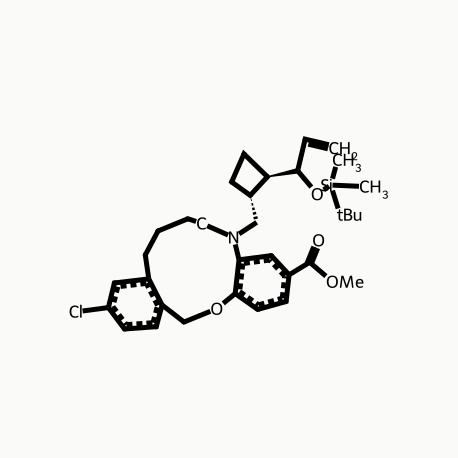 C=CC(O[Si](C)(C)C(C)(C)C)[C@@H]1CC[C@H]1CN1CCCCc2cc(Cl)ccc2COc2ccc(C(=O)OC)cc21